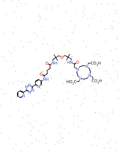 CC(C)(CNC(=O)CCCC(=O)Nc1ccc(-c2nnc(-c3ccccn3)nn2)nc1)COCC(C)(C)CNC(=O)CN1CCN(CC(=O)O)CCN(CC(=O)O)CCN(CC(=O)O)CC1